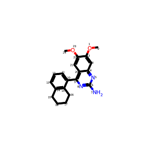 COc1cc2nc(N)nc(-c3cccc4c3CCCC4)c2cc1OC